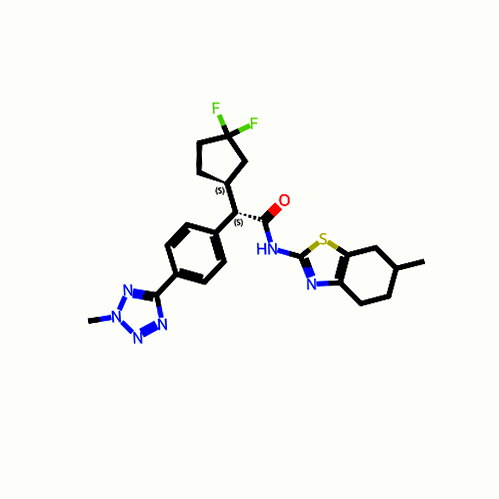 CC1CCc2nc(NC(=O)[C@H](c3ccc(-c4nnn(C)n4)cc3)[C@H]3CCC(F)(F)C3)sc2C1